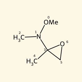 CON(C)C1(C)CO1